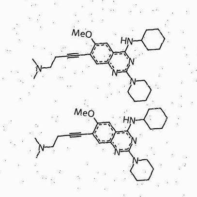 COc1cc2c(NC3CCCCC3)nc(N3CCCCC3)nc2cc1C#CCCN(C)C.COc1cc2c(NC3CCCCC3)nc(N3CCCCC3)nc2cc1C#CCCN(C)C